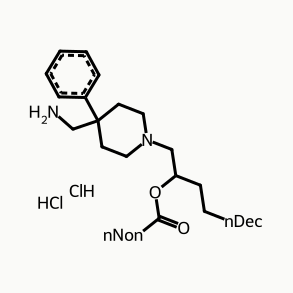 CCCCCCCCCCCCC(CN1CCC(CN)(c2ccccc2)CC1)OC(=O)CCCCCCCCC.Cl.Cl